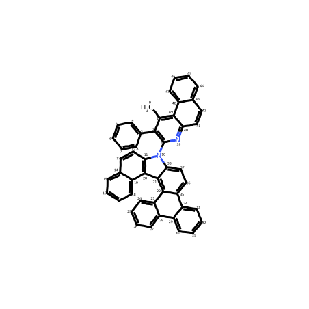 Cc1c(-c2ccccc2)c(-n2c3ccc4ccccc4c3c3c4c5ccccc5c5ccccc5c4ccc32)nc2ccc3ccccc3c12